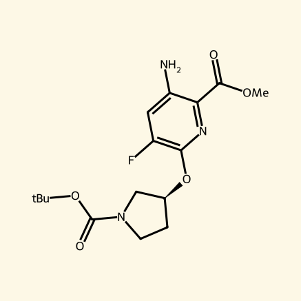 COC(=O)c1nc(O[C@H]2CCN(C(=O)OC(C)(C)C)C2)c(F)cc1N